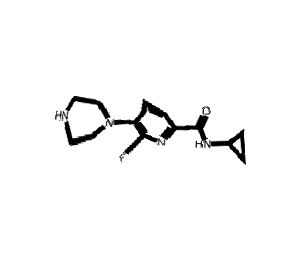 O=C(NC1CC1)c1ccc(N2CCNCC2)c(F)n1